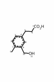 Cc1ccc(CCC(=O)O)cc1CO